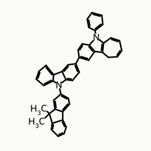 CC1(C)c2ccccc2-c2ccc(-n3c4ccccc4c4cc(-c5ccc6c(c5)c5c(n6-c6ccccc6)C=CC=CC5)ccc43)cc21